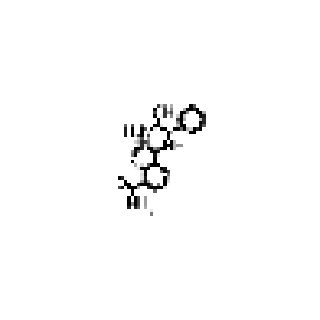 CC(N)C(Nc1ncnc2c(C(N)=O)cccc12)c1ccccc1